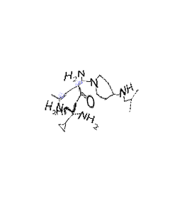 C/C(N)=C/C(C(=O)NC(N)C1CC1)=C(\N)N1CCC(NCC(C)C)CC1